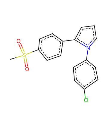 CS(=O)(=O)c1ccc(-c2cccn2-c2ccc(Cl)cc2)cc1